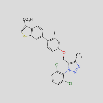 Cc1cc(OCc2c(C(F)(F)F)nnn2-c2c(Cl)cccc2Cl)ccc1-c1ccc2c(C(=O)O)csc2c1